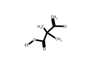 C=C(CC)C(C)(C)C(=O)OCC